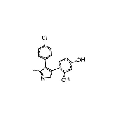 CC1=NCC(c2ccc(O)cc2O)=C1c1ccc(Cl)cc1